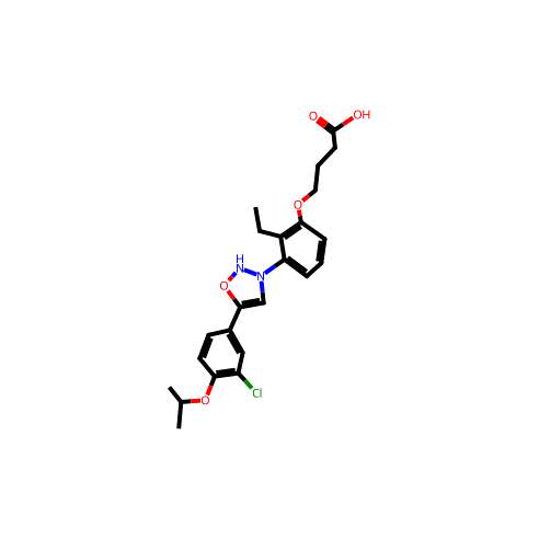 CCc1c(OCCCC(=O)O)cccc1N1C=C(c2ccc(OC(C)C)c(Cl)c2)ON1